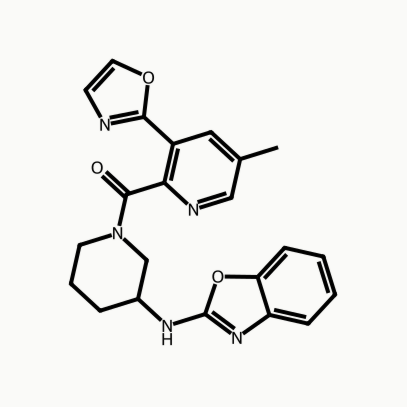 Cc1cnc(C(=O)N2CCCC(Nc3nc4ccccc4o3)C2)c(-c2ncco2)c1